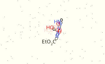 Bc1cc(C[C@@H](OC(=O)N2CCC(N3CCc4ccccc4NC3=O)CC2)C(=O)N2CCN(C3CCC(CC(=O)OCC)CC3)CC2)cc(B)c1O